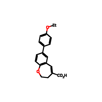 CCOc1ccc(-c2ccc3c(c2)C=C(C(=O)O)CCO3)cc1